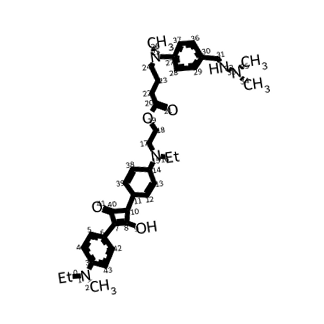 CCN(C)c1ccc(C2=C(O)C(C3C=CC(N(CC)CCOC(=O)CCCN(C)c4ccc(CNN(C)C)cc4)C=C3)C2=O)cc1